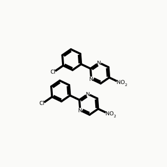 O=[N+]([O-])c1cnc(-c2cccc(Cl)c2)nc1.O=[N+]([O-])c1cnc(-c2cccc(Cl)c2)nc1